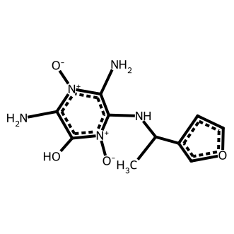 CC(Nc1c(N)[n+]([O-])c(N)c(O)[n+]1[O-])c1ccoc1